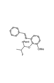 CCCCCC(Oc1c(N=Cc2ccccc2)cccc1OC)C(C)F